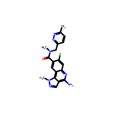 CN(Cc1ccc(C(F)(F)F)nn1)C(=O)c1cc2c(cc1F)nc(N)c1cnn(C)c12